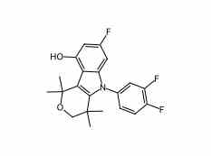 CC1(C)COC(C)(C)c2c1n(-c1ccc(F)c(F)c1)c1cc(F)cc(O)c21